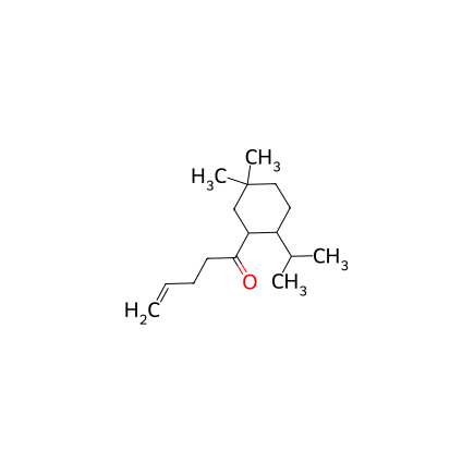 C=CCCC(=O)C1CC(C)(C)CCC1C(C)C